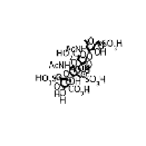 CC(=O)NC1C(C)OC(COS(=O)(=O)O)C(O)C1OC1OC(C(=O)O)C(OC2OC(COS(=O)(=O)O)C(O)C(OC3OC(C(=O)O)C(O)C(O)C3OS(=O)(=O)O)C2NC(C)=O)C(O)C1OS(=O)(=O)O